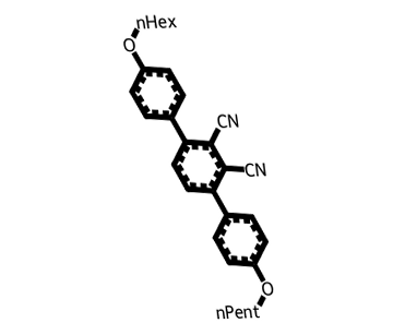 CCCCCCOc1ccc(-c2ccc(-c3ccc(OCCCCC)cc3)c(C#N)c2C#N)cc1